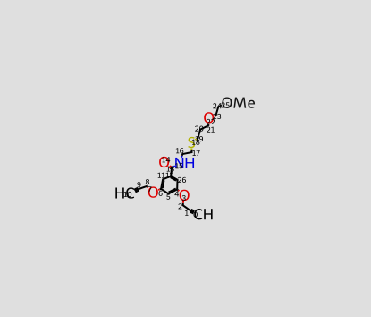 C#CCOc1cc(OCC#C)cc(C(=O)NCCSCCCOCCOC)c1